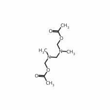 CC(=O)OCN(C)CN(C)COC(C)=O